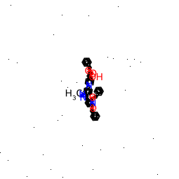 Cn1nc(-c2ccc(OCc3ccccc3)nc2OCc2ccccc2)c2ccc(N3CCC(O)(CC(=O)OCc4ccccc4)CC3)cc21